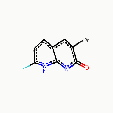 CC(C)c1cc2ccc(F)[nH]c-2nc1=O